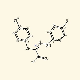 CC(=O)/C(=N\Nc1ccc(C)cc1)Sc1ccc(Cl)cc1